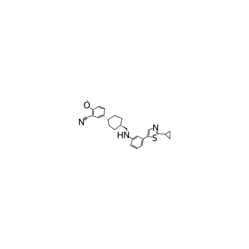 COc1ccc([C@H]2CC[C@H](CNc3cccc(-c4cnc(C5CC5)s4)c3)CC2)cc1C#N